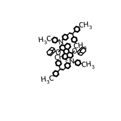 Cc1ccc(C(=Cc2ccc(N(c3ccc(C)cc3)c3cc(OC4C5CC6CC(C5)CC4C6)c4c5cccc6c(N(c7ccc(C)cc7)c7ccc(C=C(c8ccc(C)cc8)c8ccc(C)cc8)cc7)cc(OC7C8CC9CC(C8)CC7C9)c(c7cccc3c74)c65)cc2)c2ccc(C)cc2)cc1